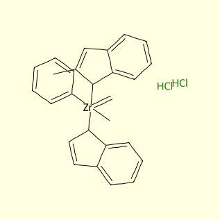 Cl.Cl.[CH2]=[Zr]([CH3])([c]1ccccc1)([CH]1C=Cc2ccccc21)[CH]1C(C)=Cc2ccccc21